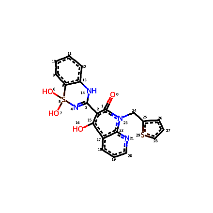 O=c1c(C2=NS(O)(O)c3ccccc3N2)c(O)c2cccnc2n1Cc1cccs1